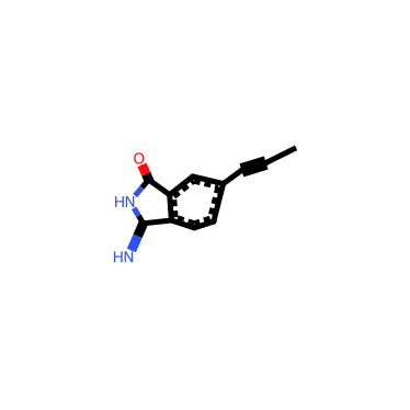 CC#Cc1ccc2c(c1)C(=O)NC2=N